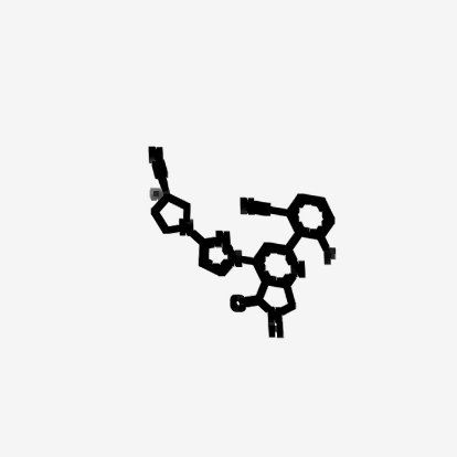 N#Cc1cccc(F)c1-c1cc(-n2ccc(N3CC[C@@H](C#N)C3)n2)c2c(n1)CNC2=O